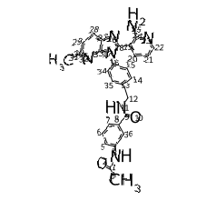 CC(=O)Nc1cccc(C(=O)NCc2ccc(-n3c(-c4cccnc4N)nc4ccc(C)nc43)cc2)c1